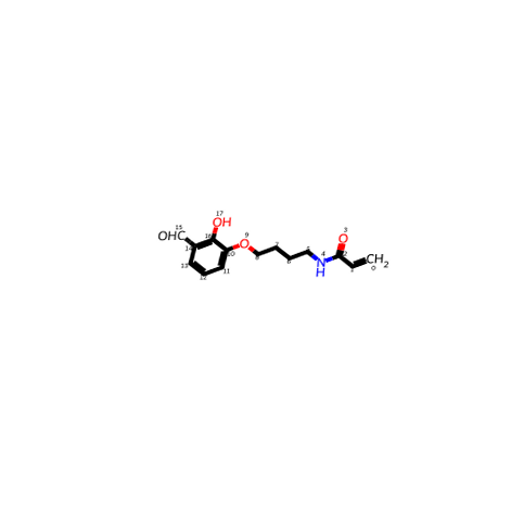 C=CC(=O)NCCCCOc1cccc(C=O)c1O